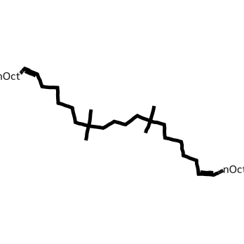 CCCCCCCC/C=C\CCCCCC(C)(C)CCCCC(C)(C)CCCCC/C=C\CCCCCCCC